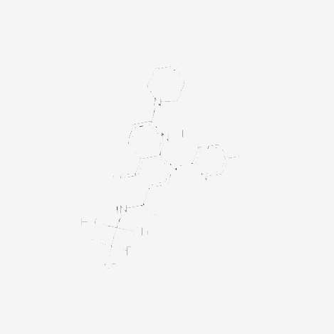 CC(C)(NC(=O)c1cn(-c2ncc(F)cc2F)c2nc(N3CCOCC3)ccc2c1=O)C(F)(F)C(F)(F)F